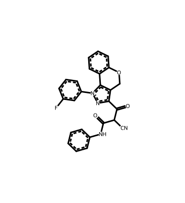 N#CC(C(=O)Nc1ccccc1)C(=O)c1nn(-c2cccc(F)c2)c2c1COc1ccccc1-2